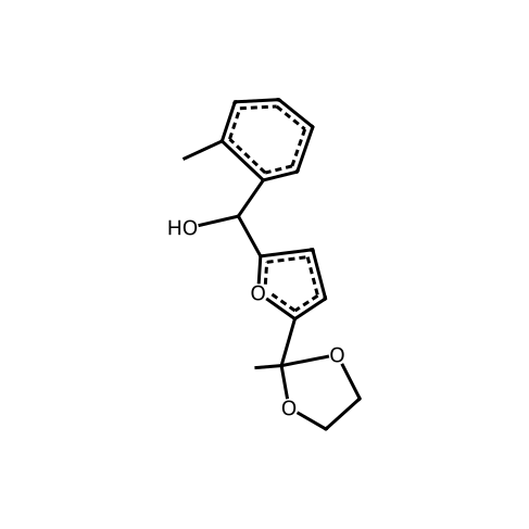 Cc1ccccc1C(O)c1ccc(C2(C)OCCO2)o1